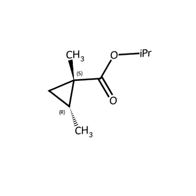 CC(C)OC(=O)[C@@]1(C)C[C@H]1C